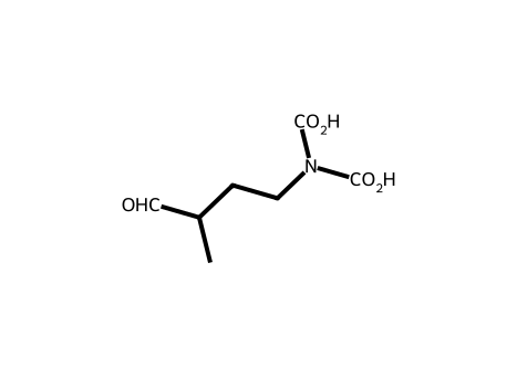 CC(C=O)CCN(C(=O)O)C(=O)O